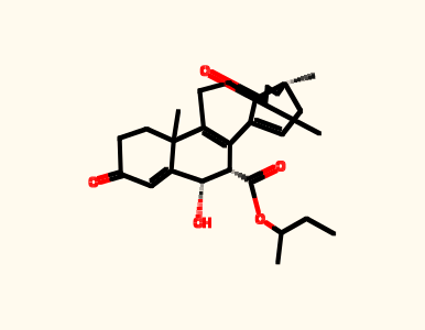 CCC(C)OC(=O)[C@H]1C2=C(CCC34C(=O)CC[C@]3(C)CC=C24)C2(C)CCC(=O)C=C2[C@H]1O